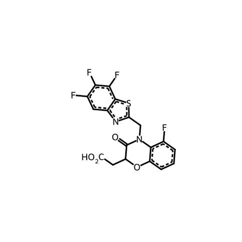 O=C(O)CC1Oc2cccc(F)c2N(Cc2nc3cc(F)c(F)c(F)c3s2)C1=O